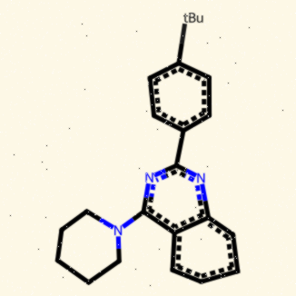 CC(C)(C)c1ccc(-c2nc(N3CCCCC3)c3ccccc3n2)cc1